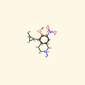 COc1c([N+](=O)[O-])cc2c(c1C1CC1C)CCN(C)C2